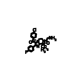 CC1(C)c2nc(-c3ccc(F)cc3)c([S+]([O-])c3ccc(Cl)cc3)n2CCN1C(=O)CN